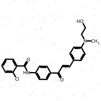 CN(CCO)c1ccc(/C=C/C(=O)c2ccc(NC(=O)c3ccccc3Cl)cc2)cc1